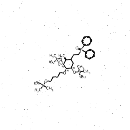 C=C1C(CCP(=O)(c2ccccc2)c2ccccc2)C[C@@H](O[Si](C)(C)C(C)(C)C)[C@@H](OCCCCO[Si](C)(C)C(C)(C)C)[C@@H]1O[Si](C)(C)C(C)(C)C